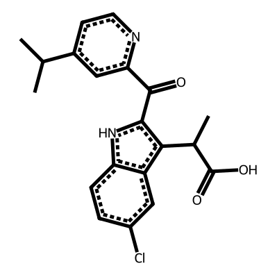 CC(C)c1ccnc(C(=O)c2[nH]c3ccc(Cl)cc3c2C(C)C(=O)O)c1